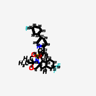 CC1(C)OCC2(C[C@@H]3CC(F)(F)CC[C@H]3[C@@H]2C=Cc2ccc(-c3cccc(F)c3)cn2)N1S(C)(=O)=O